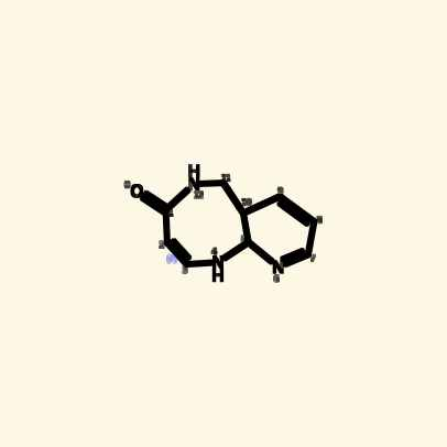 O=C1/C=C\NC2N=CC=CC2CN1